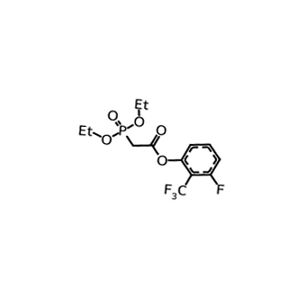 CCOP(=O)(CC(=O)Oc1cccc(F)c1C(F)(F)F)OCC